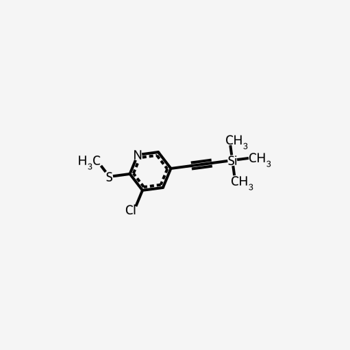 CSc1ncc(C#C[Si](C)(C)C)cc1Cl